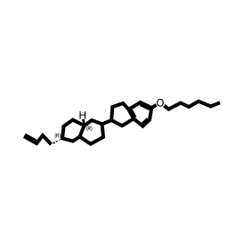 C=CCC[C@@H]1CC[C@@H]2CC(C3CCc4cc(OCCCCCC)ccc4C3)CCC2C1